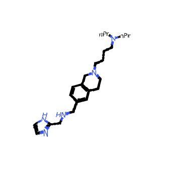 CCCN(CCC)CCCCN1CCc2cc(CNCc3ncc[nH]3)ccc2C1